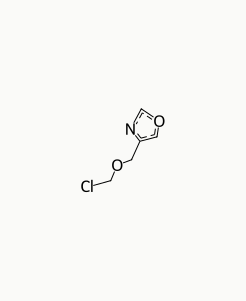 ClCOCc1cocn1